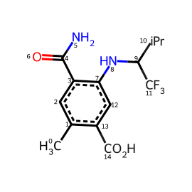 Cc1cc(C(N)=O)c(NC(C(C)C)C(F)(F)F)cc1C(=O)O